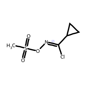 CS(=O)(=O)O/N=C(\Cl)C1CC1